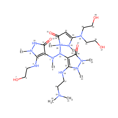 CCN(c1c(NCCO)n(CC)[nH]c1=O)N(c1c(NCCN(C)C)n(CC)n(CC)c1=O)[N+]1(CC)C(=O)C=C(N(CCO)CCO)N1CC